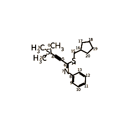 C[Si](C)(C)C#CC(=Nc1ccccc1)SCC1CCCC1